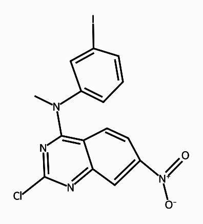 CN(c1cccc(I)c1)c1nc(Cl)nc2cc([N+](=O)[O-])ccc12